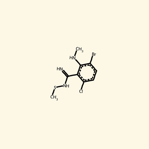 CNc1c(Br)ccc(Cl)c1C(=N)NSC